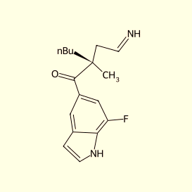 CCCC[C@](C)(CC=N)C(=O)c1cc(F)c2[nH]ccc2c1